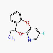 NC[C@H]1Oc2ncc(F)cc2Oc2ccccc21